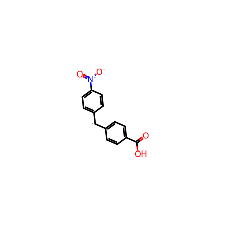 O=C(O)c1ccc([CH]c2ccc([N+](=O)[O-])cc2)cc1